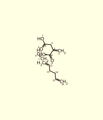 C=C.C=C(CC(=O)O)C(=O)O.C=CCCC=C